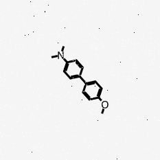 COc1ccc(-c2ccc(N(C)C)cc2)cc1